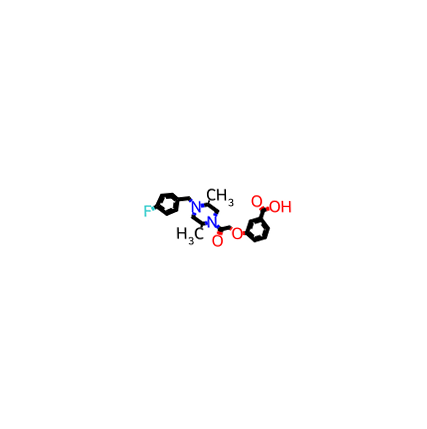 C[C@@H]1CN(C(=O)COc2cccc(C(=O)O)c2)[C@@H](C)CN1Cc1ccc(F)cc1